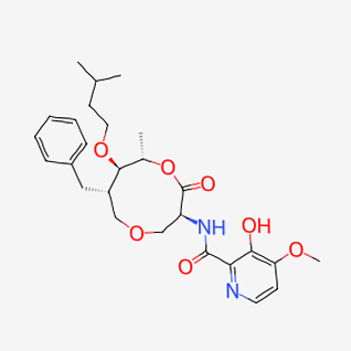 COc1ccnc(C(=O)N[C@H]2COC[C@H](Cc3ccccc3)[C@@H](OCCC(C)C)[C@H](C)OC2=O)c1O